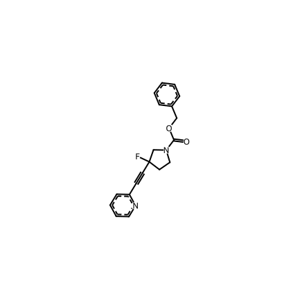 O=C(OCc1ccccc1)N1CCC(F)(C#Cc2ccccn2)C1